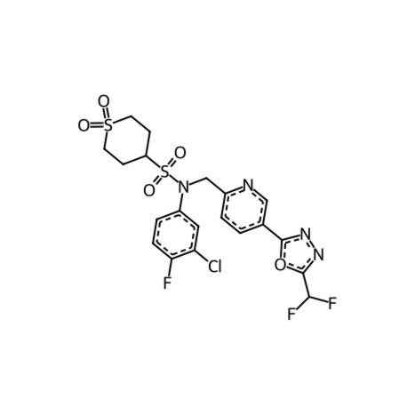 O=S1(=O)CCC(S(=O)(=O)N(Cc2ccc(-c3nnc(C(F)F)o3)cn2)c2ccc(F)c(Cl)c2)CC1